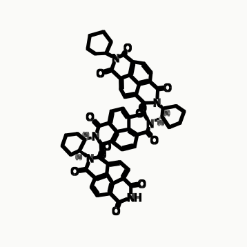 O=C1NC(=O)c2ccc3c4c(ccc1c24)C(=O)N([C@H]1CCCC[C@@H]1N1C(=O)c2ccc4c5c(ccc(c25)C1=O)C(=O)N([C@H]1CCCC[C@@H]1N1C(=O)c2ccc5c6c(ccc(c26)C1=O)C(=O)N(C1CCCCC1)C5=O)C4=O)C3=O